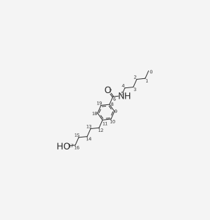 CCCCCNC(=O)c1ccc(CCCCCO)cc1